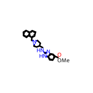 COC(=O)c1ccc2[nH]c(NCC3CCN(Cc4cccc5ccccc45)CC3)nc2c1